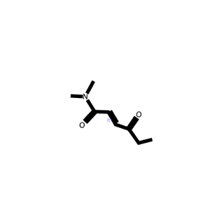 CCC(=O)/C=C/C(=O)N(C)C